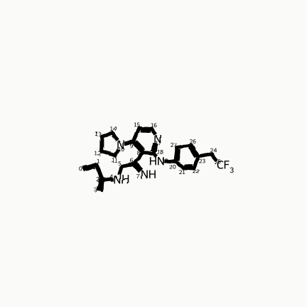 C=CC(=C)NCC(=N)c1c(N2CCCC2)ccnc1Nc1ccc(CC(F)(F)F)cc1